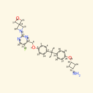 CC(C)(c1ccc(OCc2nc(N3CC4(COC4)C3)ncc2F)cc1)c1ccc(O[C@H]2C[C@@H](N)C2)cc1